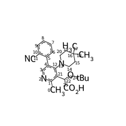 Cc1ncc(-c2ccccc2C#N)c(N2CCC(C)(C)CC2)c1C(OC(C)(C)C)C(=O)O